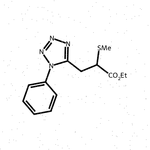 CCOC(=O)C(Cc1nnnn1-c1ccccc1)SC